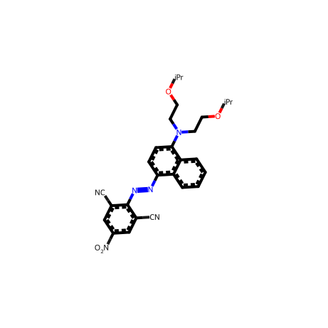 CC(C)OCCN(CCOC(C)C)c1ccc(N=Nc2c(C#N)cc([N+](=O)[O-])cc2C#N)c2ccccc12